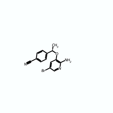 C[C@@H](Oc1cc(Br)cnc1N)c1ccc(C#N)cc1